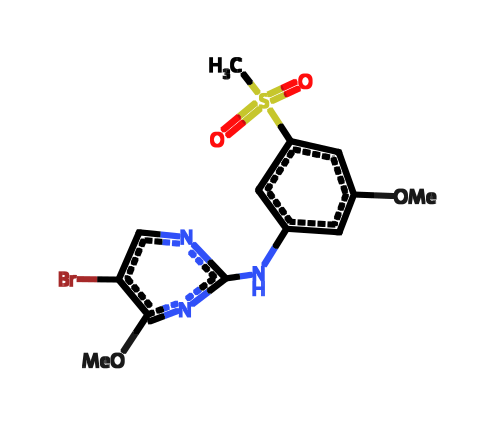 COc1cc(Nc2ncc(Br)c(OC)n2)cc(S(C)(=O)=O)c1